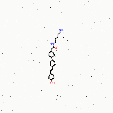 NCCCCCNC(=O)Cc1ccc(-c2ccc(/C=C/c3ccc(O)cc3)cc2)cc1